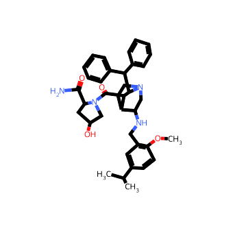 COc1ccc(C(C)C)cc1CNC1CN2CCC1C(C(=O)N1CC(O)CC1C(N)=O)C2C(c1ccccc1)c1ccccc1